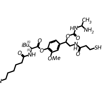 CC[C@H](C)[C@H](NC(=O)CCCCCN)C(=O)Oc1ccc(C(CNC(=O)CCS)OC(=O)NC(C)N)cc1OC